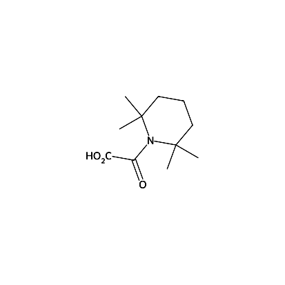 CC1(C)CCCC(C)(C)N1C(=O)C(=O)O